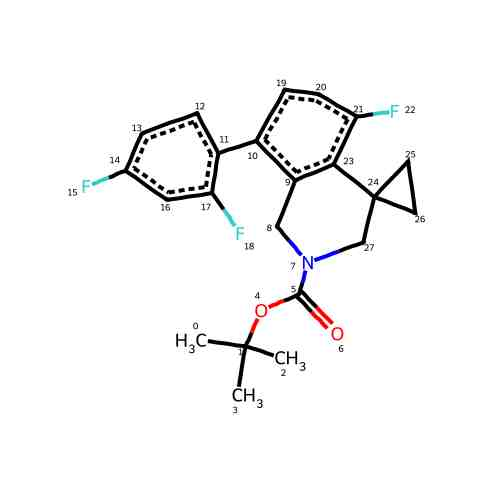 CC(C)(C)OC(=O)N1Cc2c(-c3ccc(F)cc3F)ccc(F)c2C2(CC2)C1